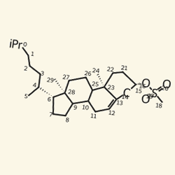 CC(C)CCCC(C)[C@H]1CCC2C3CC=C4C[C@@H](OS(C)(=O)=O)CC[C@]4(C)C3CC[C@@]21C